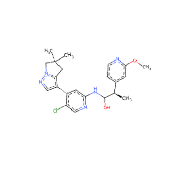 COc1cc([C@@H](C)C(O)Nc2cc(-c3cnn4c3CC(C)(C)C4)c(Cl)cn2)ccn1